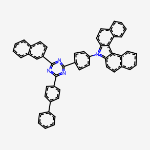 c1ccc(-c2ccc(-c3nc(-c4ccc(-n5c6ccc7ccccc7c6c6c7ccccc7ccc65)cc4)nc(-c4ccc5ccccc5c4)n3)cc2)cc1